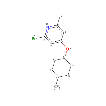 Cc1cc(OC2CCC(C(F)(F)F)CC2)cc(Br)n1